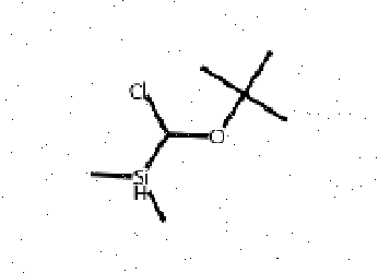 C[SiH](C)C(Cl)OC(C)(C)C